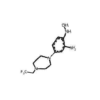 Nc1cc(N2CCN(CC(F)(F)F)CC2)ccc1NO